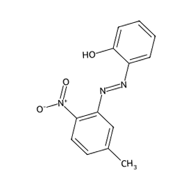 Cc1ccc([N+](=O)[O-])c(N=Nc2ccccc2O)c1